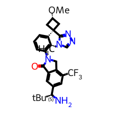 CO[C@H]1C[C@](c2cccc(N3Cc4c(cc([C@@H](N)C(C)(C)C)cc4C(F)(F)F)C3=O)c2)(c2nncn2C)C1